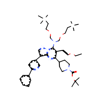 CCOC=Cc1c(C2CCN(C(=O)OC(C)(C)C)CC2)nc2c(-c3ccc(-c4ccccc4)nc3)cnn2c1N(COCC[Si](C)(C)C)COCC[Si](C)(C)C